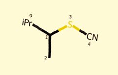 CC(C)C(C)SC#N